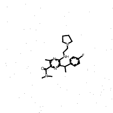 Cc1nc(NCCN2CCCC2)c(C(C)c2ccc(F)cc2)nc1C(=O)N(C)C